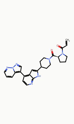 C=CC(=O)N1CCC[C@H]1C(=O)N1CCC(c2cc3c(-c4cnn5ncccc45)ccnc3[nH]2)CC1